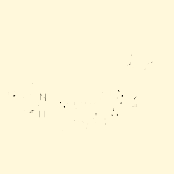 CC1(C)[C@@H]([C@@H]2CCCCO2)[C@@H]1C(=O)Nc1cc2cc(N3CCN([C@]4(C)COC[C@@H]4O)CC3)c(Cl)cc2cn1